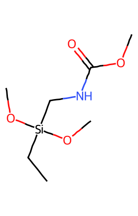 CC[Si](CNC(=O)OC)(OC)OC